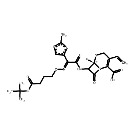 C=CC1=C(C(=O)O)N2C(=O)C(NC(=O)C(=NOCCCC(=O)OC(C)(C)C)c3csc(N)n3)[C@@H]2SC1